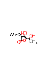 CO[C@@H]1C(=O)O[C@@H](C(C)O)[C@H]1O